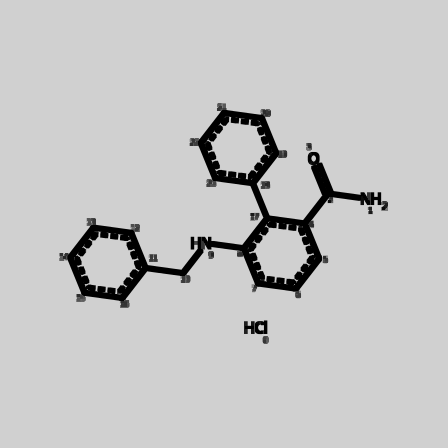 Cl.NC(=O)c1cccc(NCc2ccccc2)c1-c1ccccc1